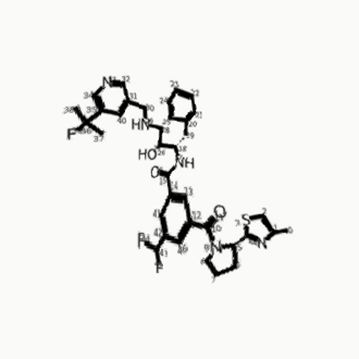 Cc1csc([C@H]2CCCN2C(=O)c2cc(C(=O)N[C@@H](Cc3ccccc3)[C@H](O)CNCc3cncc(C(C)(C)F)c3)cc(C(F)F)c2)n1